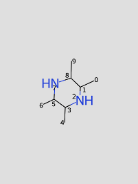 CC1NC(C)C(C)NC1C